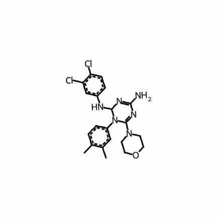 Cc1ccc(N2C(N3CCOCC3)=NC(N)=NC2Nc2ccc(Cl)c(Cl)c2)cc1C